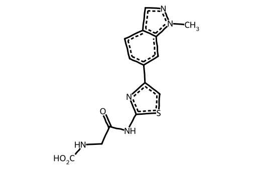 Cn1ncc2ccc(-c3csc(NC(=O)CNC(=O)O)n3)cc21